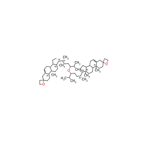 CC(C)C(CC[C@@H](C)[C@H]1CCC2C3CC=C4CC5(CCO5)CC[C@]4(C)C3CC[C@@]21C)OC(CC[C@@H](C)[C@H]1CCC2C3CC=C4CC5(CCO5)CC[C@]4(C)C3CC[C@@]21C)C(C)C